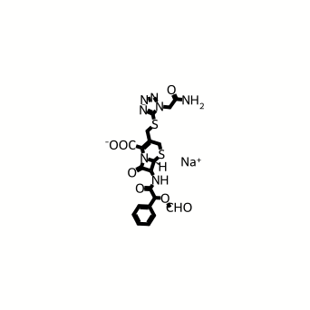 NC(=O)Cn1nnnc1SCC1=C(C(=O)[O-])N2C(=O)C(NC(=O)C(OC=O)c3ccccc3)[C@@H]2SC1.[Na+]